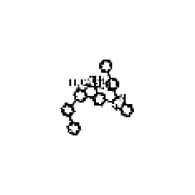 CC1(C)c2ccc(-c3cccc(-c4ccccc4)c3)cc2-c2ccc(-c3nc4ccccc4nc3-c3ccc(-c4ccccc4)cc3)cc2C1(C)C